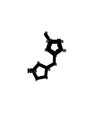 Cn1cc(CC2CCNC2)cn1